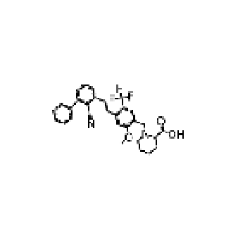 COc1cc(C=Cc2cccc(-c3ccccc3)c2C#N)c(C(F)(F)F)cc1CN1CCCCC1C(=O)O